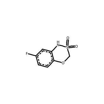 O=S1(=O)COc2ccc(F)cc2N1